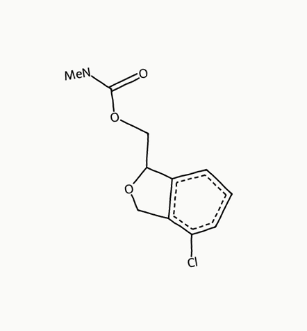 CNC(=O)OCC1OCc2c(Cl)cccc21